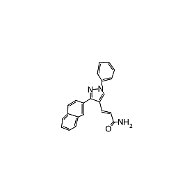 NC(=O)C=Cc1cn(-c2ccccc2)nc1-c1ccc2ccccc2c1